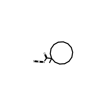 CC1(C(=O)N=C=S)CCCCCCCCCCCCC1